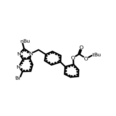 CCCCc1nc2nc(Br)ccc2n1Cc1ccc(-c2ccccc2OC(=O)OC(C)(C)C)cc1